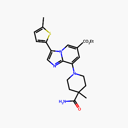 CCOC(=O)c1cc(N2CCC(C)(C(N)=O)CC2)c2ncc(-c3ccc(C)s3)n2c1